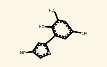 N#Cc1csc(-c2cc(C#N)cc(C(F)(F)F)c2O)c1